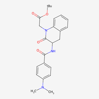 CN(C)c1ccc(C(=O)NC2Cc3ccccc3N(CC(=O)OC(C)(C)C)C2=O)cc1